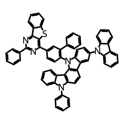 c1ccc(-c2nc(-c3ccc(-n4c5ccc(-n6c7ccccc7c7ccccc76)cc5c5ccc6c(c7ccccc7n6-c6ccccc6)c54)c(-c4ccccc4)c3)c3sc4ccccc4c3n2)cc1